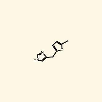 Cc1ccc(Cc2c[nH]cn2)o1